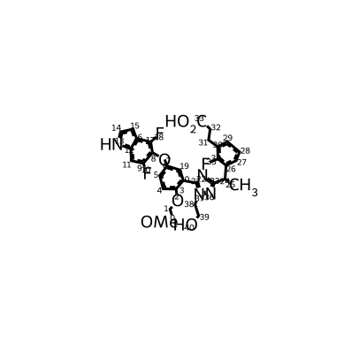 COCOc1ccc(Oc2c(F)cc3[nH]ccc3c2F)cc1-c1nc(C(C)c2cccc(CCC(=O)O)c2F)nn1CCO